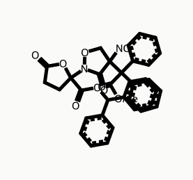 [C-]#[N+]C1(C(C(=O)OC)(c2ccccc2)c2ccccc2)CON(C2(C(=O)OC(c3ccccc3)c3ccccc3)CCC(=O)O2)C1=O